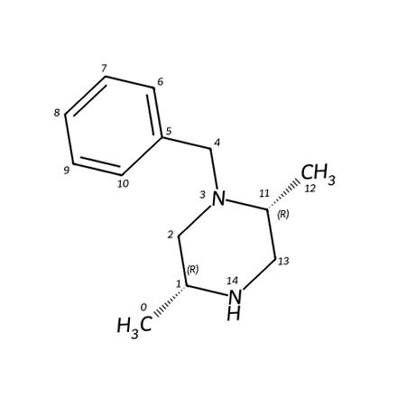 C[C@@H]1CN(Cc2ccccc2)[C@H](C)CN1